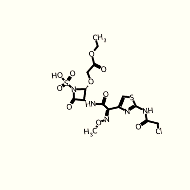 CCOC(=O)CO[C@@H]1[C@H](NC(=O)C(=NOC)c2csc(NC(=O)CCl)n2)C(=O)N1S(=O)(=O)O